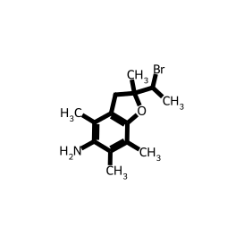 Cc1c(C)c2c(c(C)c1N)CC(C)(C(C)Br)O2